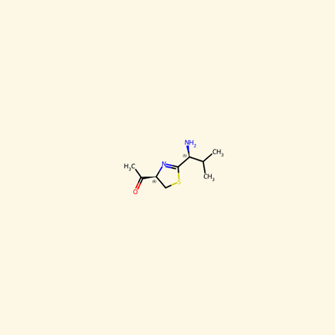 CC(=O)[C@@H]1CSC([C@@H](N)C(C)C)=N1